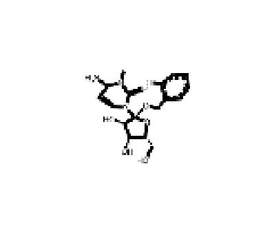 CN1C(=O)N([C@]2(OCc3ccccc3Cl)O[C@H](CO)[C@@H](O)[C@H]2O)C=CC1N